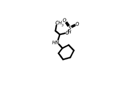 CCC(NC1CCCCC1)O[SH](=O)=O